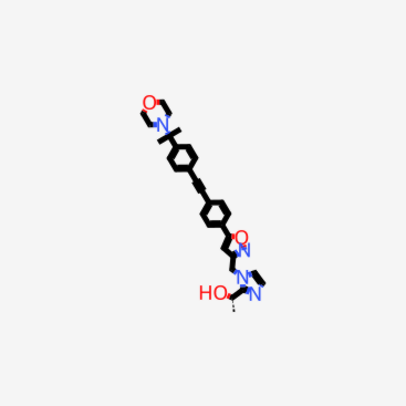 C[C@H](O)c1nccn1Cc1cc(-c2ccc(C#Cc3ccc(C(C)(C)N4CCOCC4)cc3)cc2)on1